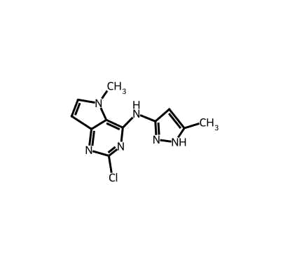 Cc1cc(Nc2nc(Cl)nc3ccn(C)c23)n[nH]1